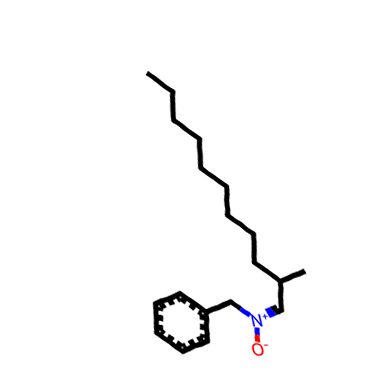 CCCCCCCCCC(C)/C=[N+](/[O-])Cc1ccccc1